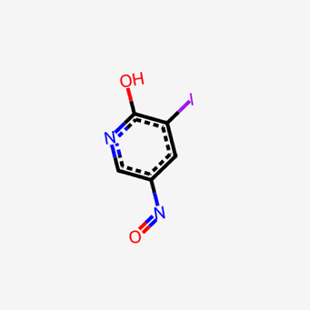 O=Nc1cnc(O)c(I)c1